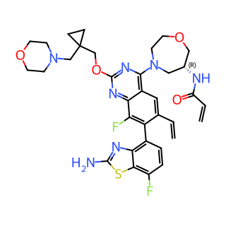 C=CC(=O)N[C@H]1COCCN(c2nc(OCC3(CN4CCOCC4)CC3)nc3c(F)c(-c4ccc(F)c5sc(N)nc45)c(C=C)cc23)C1